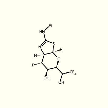 CCNC1=N[C@@H]2[C@@H](F)[C@H](O)[C@H]([C@H](O)C(F)(F)F)O[C@@H]2S1